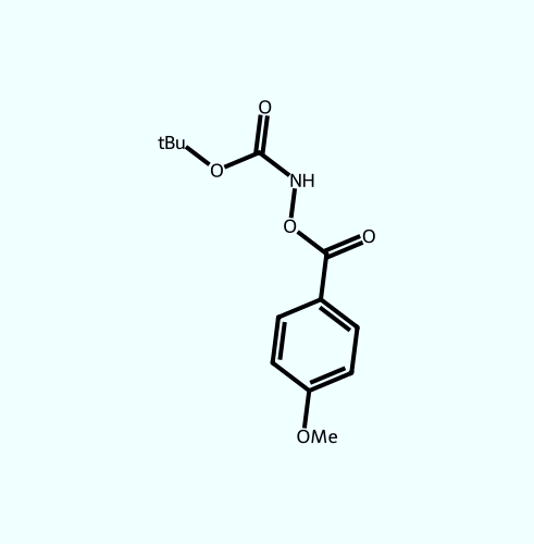 COc1ccc(C(=O)ONC(=O)OC(C)(C)C)cc1